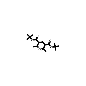 CC(=O)C(CC(C(C)=O)C(=O)OC(C)(C)C)C(=O)OC(C)(C)C